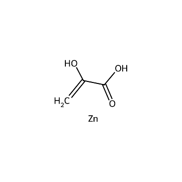 C=C(O)C(=O)O.[Zn]